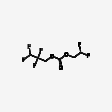 O=C(OCC(F)F)OCC(F)(F)C(F)F